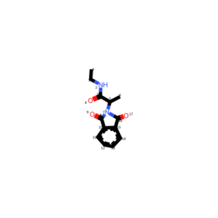 CCNC(=O)C(C)N1C(=O)c2ccccc2C1=O